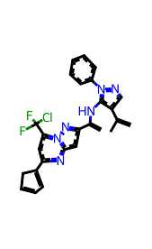 C=C(Nc1c(C(=C)C)cnn1-c1ccccc1)c1cc2nc(C3=CC=CC3)cc(C(F)(F)Cl)n2n1